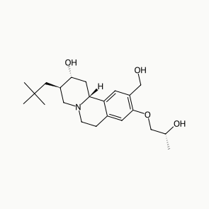 C[C@@H](O)COc1cc2c(cc1CO)[C@H]1C[C@@H](O)[C@H](CC(C)(C)C)CN1CC2